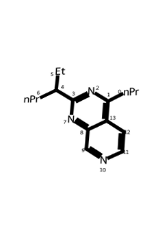 CCCc1nc(C(CC)CCC)nc2cnccc12